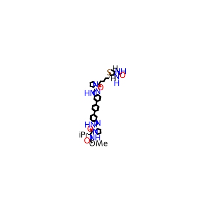 COC(=O)N[C@H](C(=O)N1CCC[C@H]1c1nc2cc(-c3ccc(-c4ccc5nc([C@@H]6CCCN6C(=O)CCCC[C@@H]6SC[C@@H]7NC(=O)N[C@@H]76)[nH]c5c4)cc3)ccc2[nH]1)C(C)C